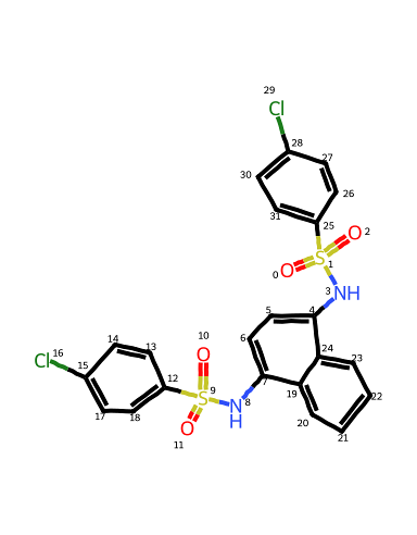 O=S(=O)(Nc1ccc(NS(=O)(=O)c2ccc(Cl)cc2)c2ccccc12)c1ccc(Cl)cc1